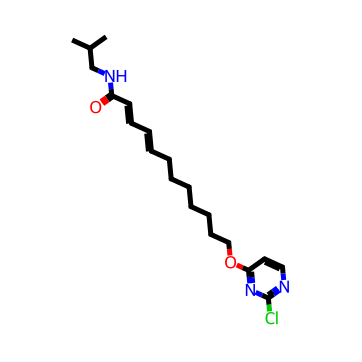 CC(C)CNC(=O)C=CC=CCCCCCCCOc1ccnc(Cl)n1